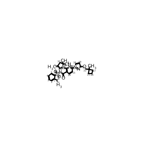 Cc1ccccc1S(=O)(=O)NC(=O)c1ccc(-n2ccc(OCC3(C)CCC3)n2)nc1N1C[C@@H](C)CC1(C)C